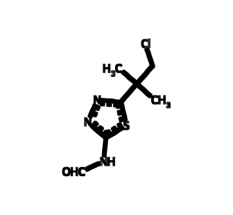 CC(C)(CCl)c1nnc(NC=O)s1